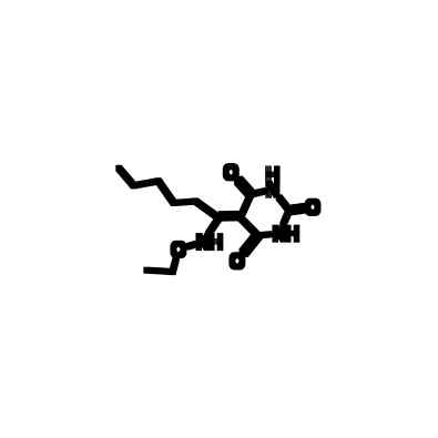 CCCCCC(NOCC)=C1C(=O)NC(=O)NC1=O